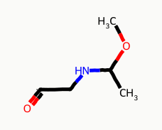 COC(C)NC[C]=O